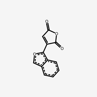 O=C1C=C(c2occ3ccccc23)C(=O)O1